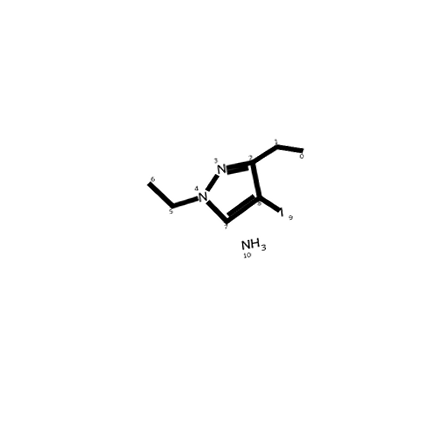 CCc1nn(CC)cc1I.N